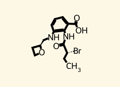 CC[C@@H](Br)C(=O)Nc1c(NC[C@@H]2CCO2)cccc1C(=O)O